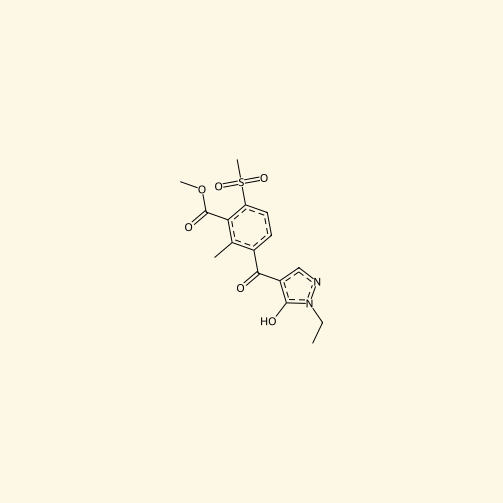 CCn1ncc(C(=O)c2ccc(S(C)(=O)=O)c(C(=O)OC)c2C)c1O